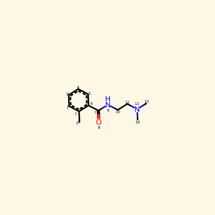 Cc1c[c]ccc1C(=O)NCCN(C)C